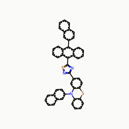 c1ccc2c(c1)Sc1ccc(-c3nsc(-c4c5ccccc5c(-c5ccc6ccccc6c5)c5ccccc45)n3)cc1N2c1ccc2ccccc2c1